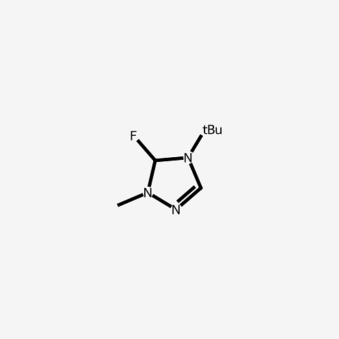 CN1N=CN(C(C)(C)C)C1F